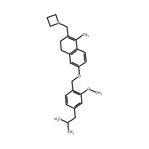 COc1cc(CC(C)C)ccc1COc1ccc2c(c1)CCC(CN1CCC1)=C2C